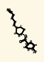 N#CC=CC=C[C@H]1CC[C@H](OC(=O)c2ccc(F)cc2)CC1